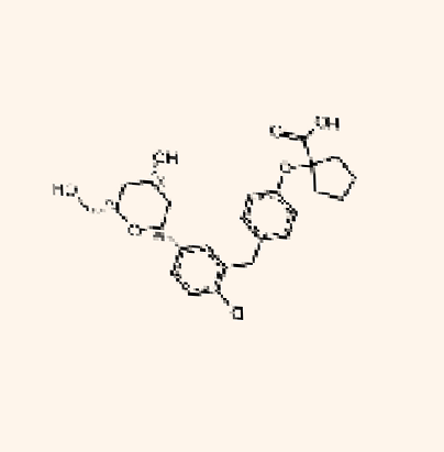 O=C(O)C1(Oc2ccc(Cc3cc([C@H]4C[C@@H](O)C[C@@H](CO)O4)ccc3Cl)cc2)CCCC1